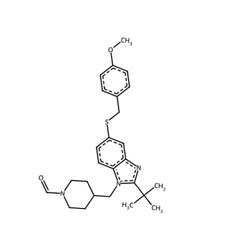 COc1ccc(CSc2ccc3c(c2)nc(C(C)(C)C)n3CC2CCN(C=O)CC2)cc1